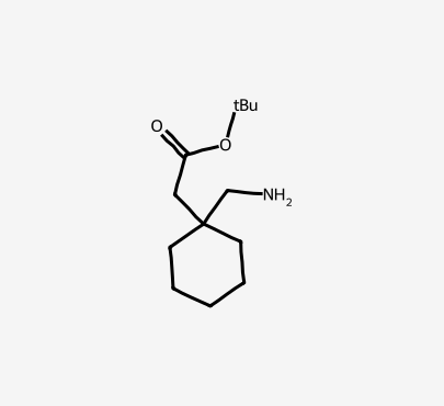 CC(C)(C)OC(=O)CC1(CN)CCCCC1